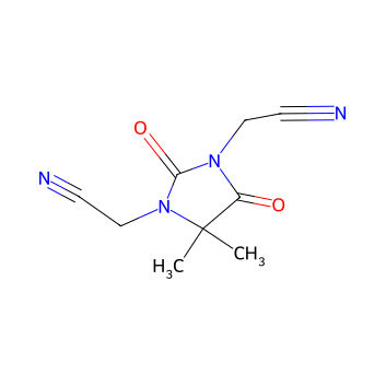 CC1(C)C(=O)N(CC#N)C(=O)N1CC#N